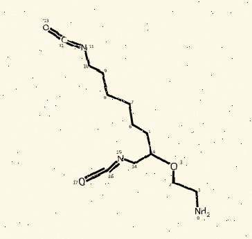 NCCOC(CCCCCCN=C=O)CN=C=O